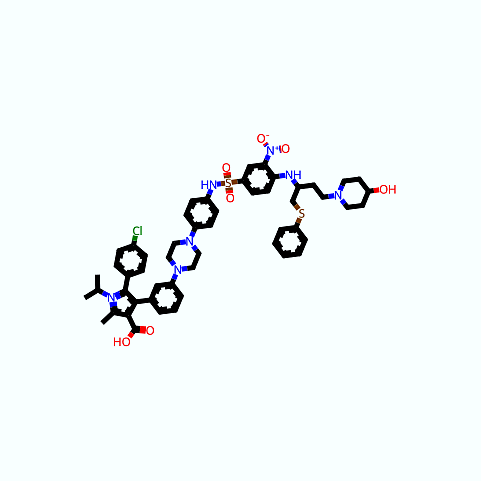 Cc1c(C(=O)O)c(-c2cccc(N3CCN(c4ccc(NS(=O)(=O)c5ccc(NC(CCN6CCC(O)CC6)CSc6ccccc6)c([N+](=O)[O-])c5)cc4)CC3)c2)c(-c2ccc(Cl)cc2)n1C(C)C